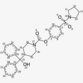 O=C(Oc1ccc(S(=O)(=O)N2CCCC2)cc1)N1CCC(C(O)(c2ccccc2)c2ccccc2)CC1